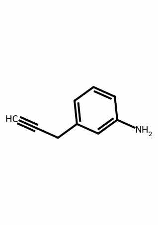 C#CCc1cccc(N)c1